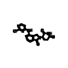 O=C1CCC(N2Cc3c(Nc4ccnc(Cl)n4)cccc3C2=O)C(=O)N1